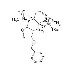 CN(C)[C@@H]1C2ON=C(OCc3ccccc3)C2C(=O)[C@@]2(O[Si](C)(C)C(C)(C)C)C(=O)C=CC[C@@H]12